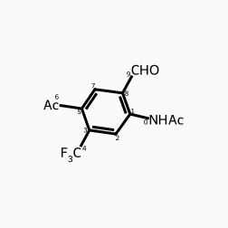 CC(=O)Nc1cc(C(F)(F)F)c(C(C)=O)cc1C=O